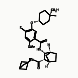 COc1cc(F)c(O[C@H]2CC[C@@](C)(C(=O)O)CC2)cc1C(=O)N[C@@H]1[C@H]2CC[C@H](C2)[C@@H]1C(=O)NC12CC(C1)C2